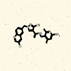 C=C(NCc1c(C)cc(N)nc1C)c1cn(Cc2ccc3ncc(Cl)cc3c2)nc1C#N